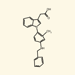 Cc1cc(NCc2ccccc2)ccc1-n1cc(CC(=O)O)c2ccccc21